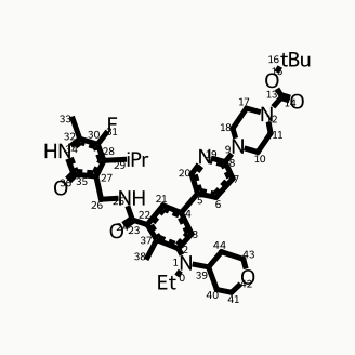 CCN(c1cc(-c2ccc(N3CCN(C(=O)OC(C)(C)C)CC3)nc2)cc(C(=O)NCc2c(C(C)C)c(F)c(C)[nH]c2=O)c1C)C1CCOCC1